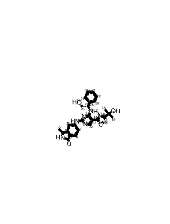 CC1NC(=O)c2ccc(Nc3ncc(-c4nc(C(C)(C)O)no4)c(N[C@H](CO)c4ccccc4)n3)cc21